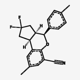 Cc1ccc([C@H]2Oc3c(C#N)cc(C)cc3[C@H]3CC(F)(F)C[C@H]32)cc1